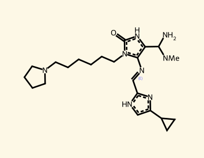 CNC(N)c1[nH]c(=O)n(CCCCCCN2CCCC2)c1/N=C/c1nc(C2CC2)c[nH]1